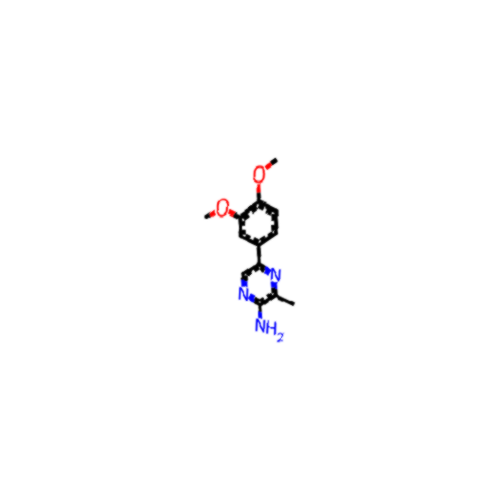 COc1ccc(-c2cnc(N)c(C)n2)cc1OC